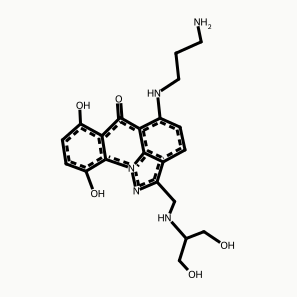 NCCCNc1ccc2c(CNC(CO)CO)nn3c4c(O)ccc(O)c4c(=O)c1c23